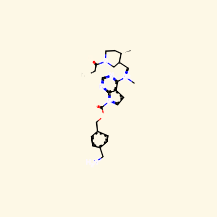 C[C@@H]1CCN(C(=O)CC#N)CC1/C=[N+](/C)c1ncnc2c1ccn2C(=O)OCc1ccc(CN)cc1